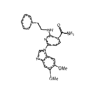 COc1cc2ncn(-c3ccc(C(N)=O)c(NCCc4ccccc4)n3)c2cc1OC